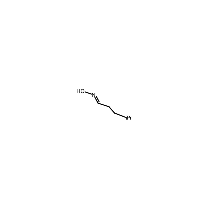 CC(C)CC/C=N/O